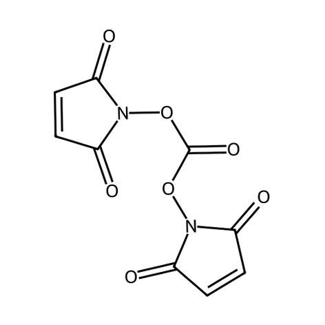 O=C(ON1C(=O)C=CC1=O)ON1C(=O)C=CC1=O